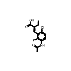 CC/C(=C\c1c(Cl)ccc(NC(C)=O)c1F)C(=O)O